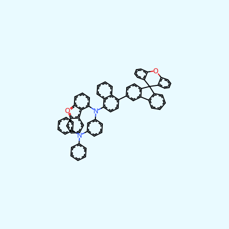 c1ccc(N(c2ccccc2)c2cccc(N(c3ccc(-c4ccc5c(c4)-c4ccccc4C54c5ccccc5Oc5ccccc54)c4ccccc34)c3cccc4oc5ccccc5c34)c2)cc1